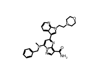 CN(Cc1ccccc1)c1cc(-c2cn(CCN3CCOCC3)c3ncccc23)nc2c(C(N)=O)cnn12